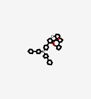 c1ccc(-c2ccc(N(c3ccc(-c4ccccc4)cc3)c3ccc(-c4ccc5c(c4)C4(c6ccccc6O5)c5ccccc5-c5ccccc5-c5ccccc54)cc3)cc2)cc1